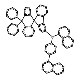 c1ccc(C2(c3ccccc3)c3ccccc3C3(c4ccccc4-c4cc(N(c5ccc(-c6cccc7ccccc67)cc5)c5cccc6ccccc56)ccc43)c3ccccc32)cc1